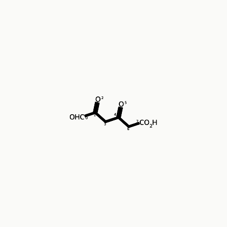 O=CC(=O)CC(=O)CC(=O)O